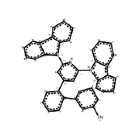 N#Cc1cccc(-c2ccccc2-c2cc(-n3c4ccccc4c4ccccc43)nc(-n3c4ccccc4c4ccccc43)c2)c1